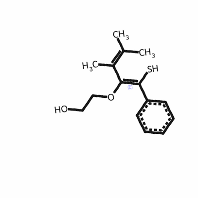 CC(C)=C(C)/C(OCCO)=C(\S)c1ccccc1